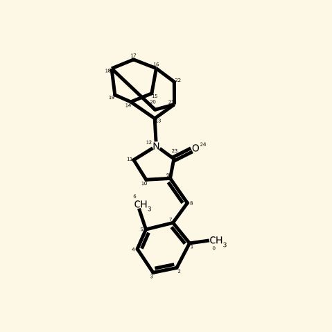 Cc1cccc(C)c1/C=C1\CCN(C2C3CC4CC(C3)CC2C4)C1=O